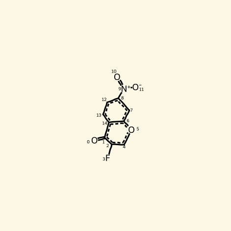 O=c1c(F)coc2cc([N+](=O)[O-])ccc12